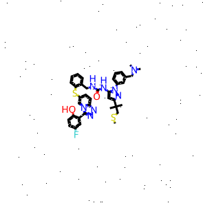 CSCC(C)(C)c1cc(NC(=O)NCc2ccccc2Sc2ccc3nnc(-c4cc(F)ccc4O)n3c2)n(-c2cccc(CN(C)C)c2)n1